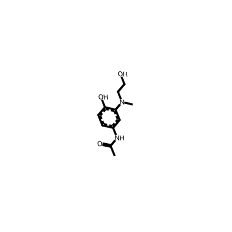 CC(=O)Nc1ccc(O)c(N(C)CCO)c1